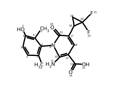 Cc1ccc(O)c(C)c1-n1c(N)c(C(=O)O)cc(C2CC2(F)F)c1=O